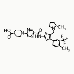 Cc1ccc(-c2nc(NC(=O)c3cnc(N4CCC(C(=O)O)CC4)cn3)sc2CN2CCC[C@H]2C)cc1C(F)(F)F